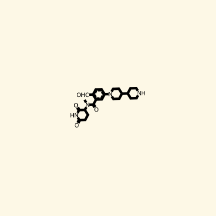 CN(C(=O)c1cc(N2CCC(C3CCNCC3)CC2)ccc1C=O)C1CCC(=O)NC1=O